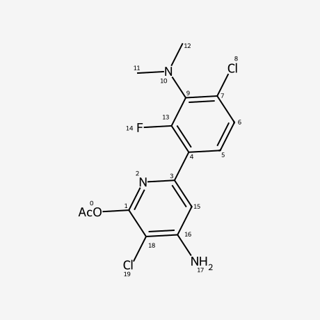 CC(=O)Oc1nc(-c2ccc(Cl)c(N(C)C)c2F)cc(N)c1Cl